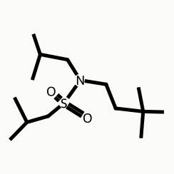 CC(C)CN(CCC(C)(C)C)S(=O)(=O)CC(C)C